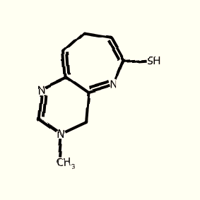 CN1C=NC2=CCC=C(S)N=C2C1